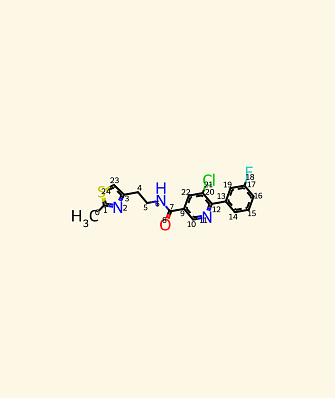 Cc1nc(CCNC(=O)c2cnc(-c3cccc(F)c3)c(Cl)c2)cs1